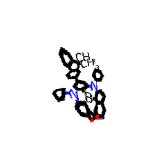 CC1(C)c2ccccc2-c2ccc(-c3cc4c5c(c3)N(c3ccccc3)c3ccc6ccccc6c3B5c3c(ccc5ccccc35)N4c3ccccc3)cc21